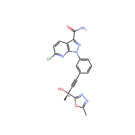 Cc1nnc([C@](C)(O)C#Cc2cccc(-n3nc(C(N)=O)c4ccc(Cl)nc43)c2)o1